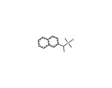 CC(c1ccc2ccccc2c1)[Si](C)(C)Cl